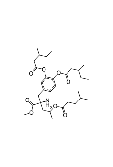 CCC(C)CC(=O)Oc1ccc(C[C@](N)(CC(C)OC(=O)CCC(C)C)C(=O)OC)cc1OC(=O)CC(C)CC